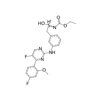 CCOC(=O)N=[SH](C)(O)Cc1cccc(Nc2ncc(F)c(-c3ccc(F)cc3OC)n2)c1